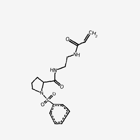 C=CC(=O)NCCNC(=O)C1CCCN1S(=O)(=O)c1ccccc1